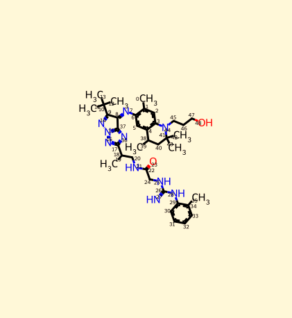 Cc1cc2c(cc1/N=C1/C(C(C)(C)C)=Nn3nc(C(C)CNC(=O)CNC(=N)Nc4ccccc4C)nc31)C(C)CC(C)(C)N2CCCO